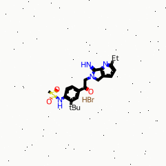 Br.CCc1ccc2c(n1)C(=N)N(CC(=O)c1ccc(NS(C)(=O)=O)c(C(C)(C)C)c1)C2